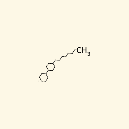 CCCCCCCCC1CCC(C2CC[CH]CC2)CC1